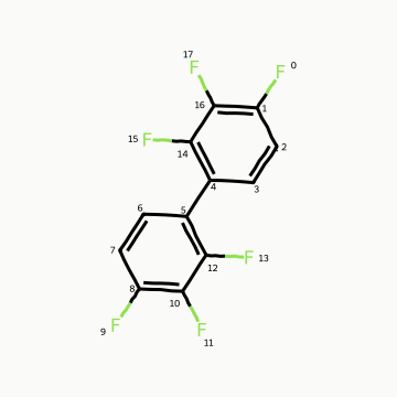 Fc1[c]cc(-c2ccc(F)c(F)c2F)c(F)c1F